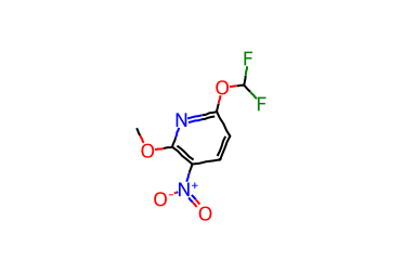 COc1nc(OC(F)F)ccc1[N+](=O)[O-]